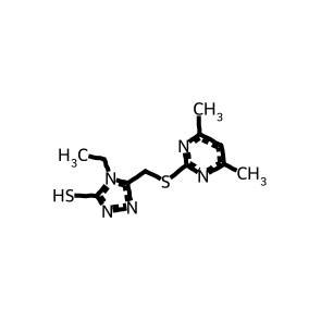 CCn1c(S)nnc1CSc1nc(C)cc(C)n1